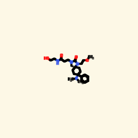 COCCN1C(=O)N(CCC(=O)NCCO)C[C@]12CC[C@](c1ccccc1)(N(C)C)CC2